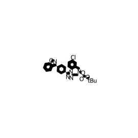 CC(C)(C)OC(=O)ON1Cc2cc(Cl)ccc2-n2c(nnc2[C@H]2CC[C@@H](c3noc4ccccc43)CC2)C1